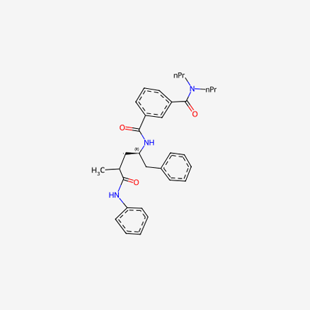 CCCN(CCC)C(=O)c1cccc(C(=O)N[C@H]([CH]C(C)C(=O)Nc2ccccc2)Cc2ccccc2)c1